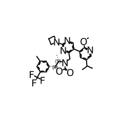 COc1ncc(C(C)C)cc1-c1cnc(N2CCC2)nc1CN1C(=O)O[C@H](c2cc(C)cc(C(F)(F)F)c2)[C@@H]1C